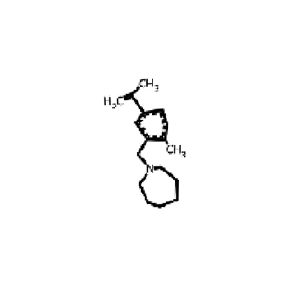 C=C(C)c1ccc(C)c(CN2CCCCCC2)c1